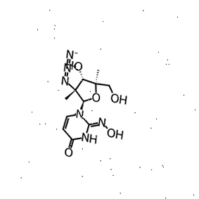 C[C@]1(N=[N+]=[N-])[C@H](n2ccc(=O)[nH]/c2=N\O)O[C@](C)(CO)[C@H]1O